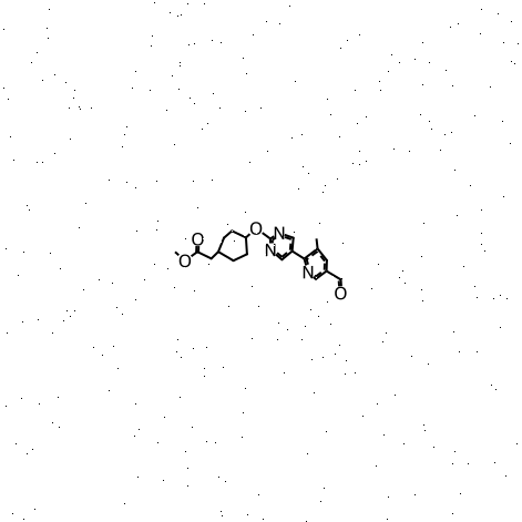 COC(=O)CC1CCC(Oc2ncc(-c3ncc(C=O)cc3C)cn2)CC1